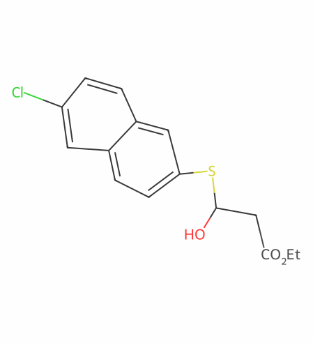 CCOC(=O)CC(O)Sc1ccc2cc(Cl)ccc2c1